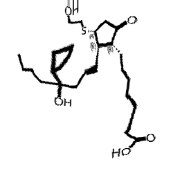 CCCCC(O)(CC=C[C@H]1[C@H](SCCO)CC(=O)[C@@H]1CCCCCCC(=O)O)C1CC1